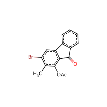 CC(=O)Oc1c(C)c(Br)cc2c1C(=O)c1ccccc1-2